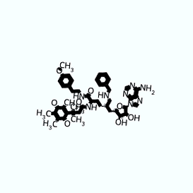 COc1ccc(CCNC(=O)C(CC[C@H](CNCc2ccccc2)C[C@H]2O[C@@H](n3cnc4c(N)ncnc43)C(O)[C@H]2O)NC(=O)CC(C)(C)C2=C(C)C(=O)C(C)=C(C)C2=O)cc1